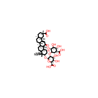 CC1(C)[C@@H](O[C@H]2O[C@H](C(=O)O)[C@@H](O)[C@H](O)[C@H]2O[C@@H]2C[C@H](C(=O)O)[C@@H](O)[C@H](O)[C@H]2O)CC[C@]2(C)[C@H]3C(=O)C=C4[C@@H]5C[C@@](C)(C(=O)O)CC[C@]5(C)CC[C@@]4(C)[C@]3(C)CC[C@@H]12.[NaH].[NaH]